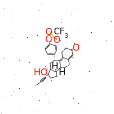 CC#C[C@]1(O)CC[C@H]2[C@@H]3CCC4=CC(=O)CCC4=C3[C@@H](c3ccc(OS(=O)(=O)C(F)(F)F)cc3)C[C@@]21C